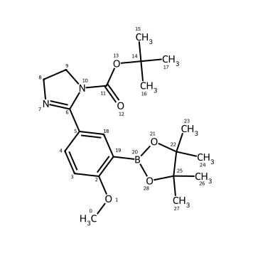 COc1ccc(C2=NCCN2C(=O)OC(C)(C)C)cc1B1OC(C)(C)C(C)(C)O1